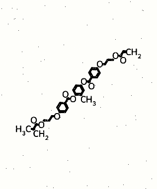 C=CC(=O)OCCCOc1ccc(C(=O)Oc2ccc(OC(=O)c3ccc(OCCCOC(=O)C(=C)C)cc3)c(C)c2)cc1